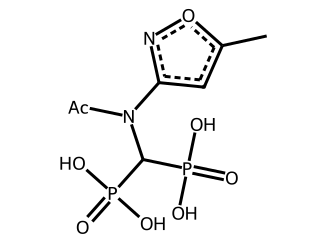 CC(=O)N(c1cc(C)on1)C(P(=O)(O)O)P(=O)(O)O